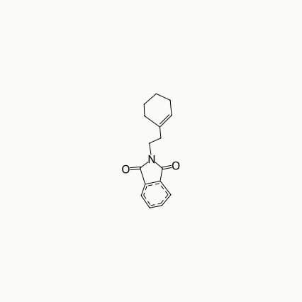 O=C1c2ccccc2C(=O)N1CCC1=CCCCC1